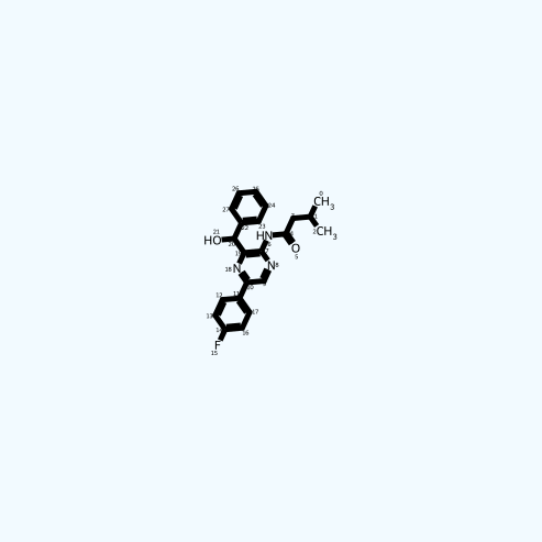 CC(C)CC(=O)Nc1ncc(-c2ccc(F)cc2)nc1C(O)c1ccccc1